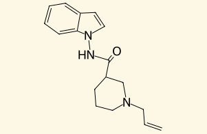 C=CCN1CCCC(C(=O)Nn2ccc3ccccc32)C1